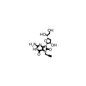 C#CCn1c(=O)n([C@@H]2O[C@H](C(O)CO)C[C@H]2O)c2nc(N)[nH]c(=O)c21